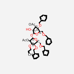 C=CCO[C@@H]1[C@@H](OC(C)=O)[C@H](O[C@H]2O[C@H](COCc3ccccc3)[C@@H](OCc3ccccc3)[C@H](OC(C)=O)[C@H]2O)O[C@H](COCc2ccccc2)[C@H]1OCc1ccccc1